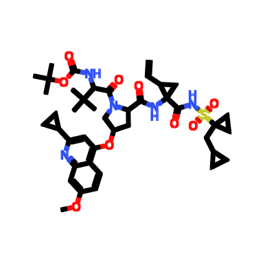 C=CC1CC1(NC(=O)C1CC(Oc2cc(C3CC3)nc3cc(OC)ccc23)CN1C(=O)C(NC(=O)OC(C)(C)C)C(C)(C)C)C(=O)NS(=O)(=O)C1(CC2CC2)CC1